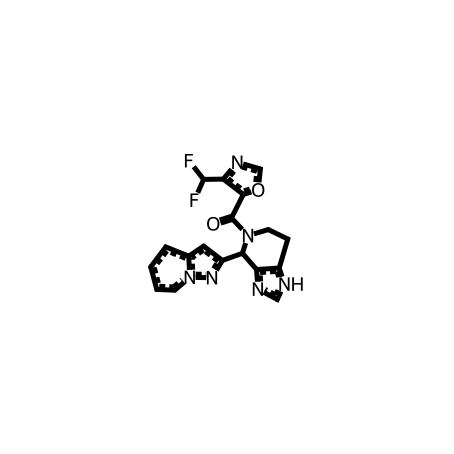 O=C(c1ocnc1C(F)F)N1CCc2[nH]cnc2C1c1cc2ccccn2n1